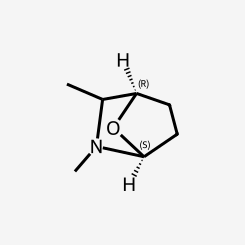 CC1[C@H]2CC[C@H](O2)N1C